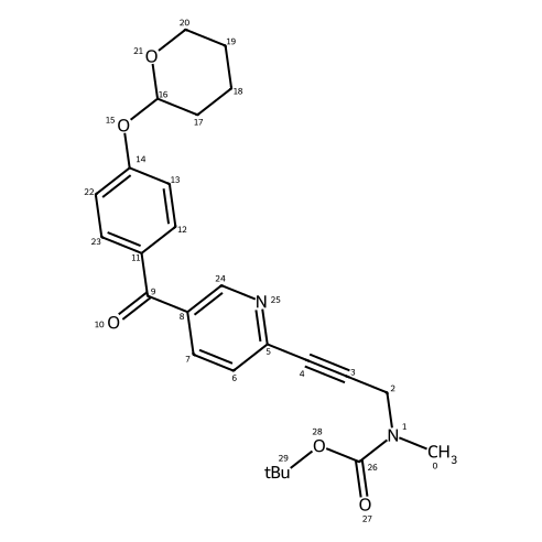 CN(CC#Cc1ccc(C(=O)c2ccc(OC3CCCCO3)cc2)cn1)C(=O)OC(C)(C)C